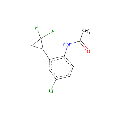 CC(=O)Nc1ccc(Cl)cc1C1CC1(F)F